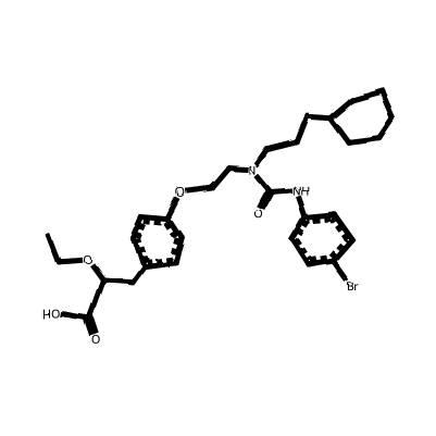 CCOC(Cc1ccc(OCCN(CCCC2CCCCC2)C(=O)Nc2ccc(Br)cc2)cc1)C(=O)O